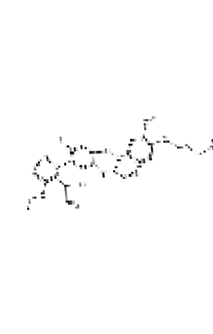 CCOc1ccnc(-c2cc(F)c(Oc3ccnc4cc(OCCCN(C)C)c(OC)cc34)cc2F)c1C(N)=O